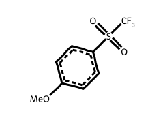 COc1ccc(S(=O)(=O)C(F)(F)F)cc1